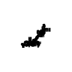 CCOC(O)c1ccc(NCC#Cc2cc3c(N[C@@H]4CCN(C(C)C)C[C@@H]4F)cccc3n2CC(F)(F)F)c(OC)c1